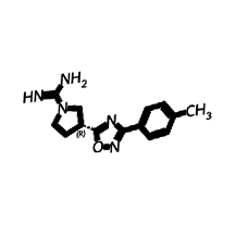 Cc1ccc(-c2noc([C@@H]3CCN(C(=N)N)C3)n2)cc1